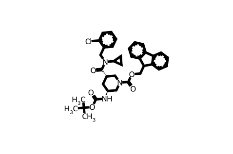 CC(C)(C)OC(=O)N[C@@H]1C[C@H](C(=O)N(Cc2ccccc2Cl)C2CC2)CN(C(=O)OCC2c3ccccc3-c3ccccc32)C1